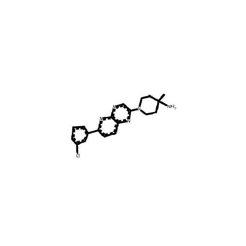 CC1(N)CCN(c2cnc3nc(-c4cccc(Cl)c4)ccc3n2)CC1